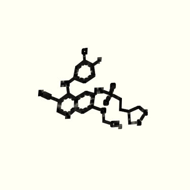 CCOc1cc2ncc(C#N)c(Nc3ccc(F)c(Cl)c3)c2cc1NS(=O)(=O)CCC1CSSC1